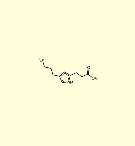 O=C(O)CCc1cc(CCCS)c[nH]1